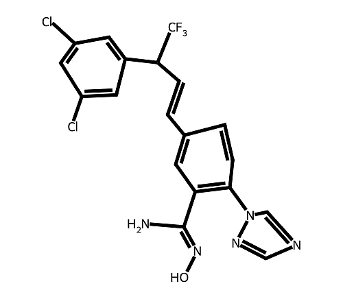 N/C(=N\O)c1cc(/C=C/C(c2cc(Cl)cc(Cl)c2)C(F)(F)F)ccc1-n1cncn1